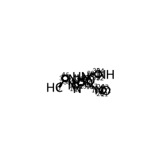 C#Cc1cccc(Nc2ncnc3cc(OCCCN4CCOCC4)c(NC(=O)C=C4CCNCC4)cc23)c1